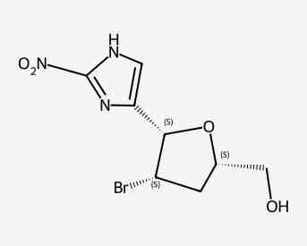 O=[N+]([O-])c1nc([C@@H]2O[C@H](CO)C[C@@H]2Br)c[nH]1